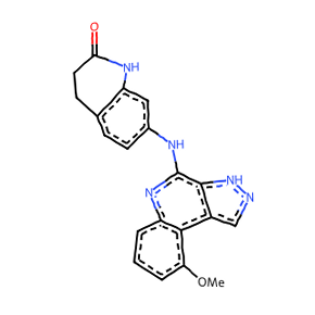 COc1cccc2nc(Nc3ccc4c(c3)NC(=O)CC4)c3[nH]ncc3c12